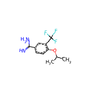 CC(C)Oc1ccc(C(=N)N)cc1C(F)(F)F